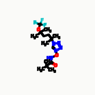 CC(C)(CCC(C)(C)n1c[n+](ONC(=O)C(C)(C)C)nn1)OC(F)(F)F